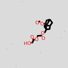 O=COC12CC3CC(CC(COC(=O)COC(=O)CO)(C3)C1)C2